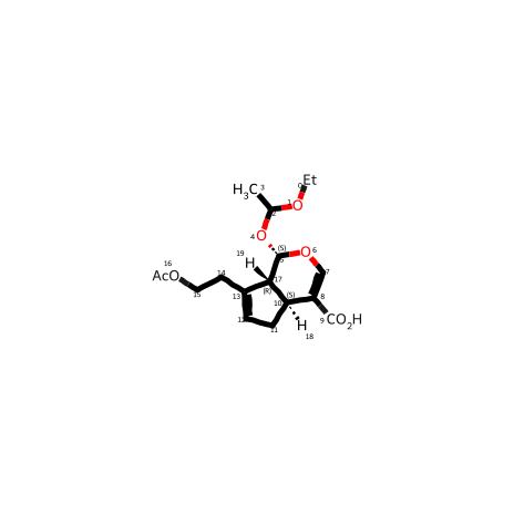 CCOC(C)O[C@@H]1OC=C(C(=O)O)[C@H]2CC=C(CCOC(C)=O)[C@H]12